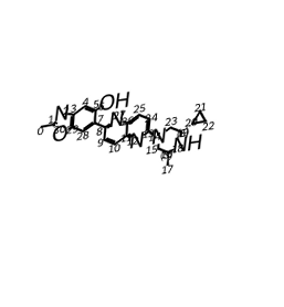 Cc1nc2cc(O)c(-c3ccc4nc(N5C[C@H](C)N[C@@H](C6CC6)C5)ccc4n3)cc2o1